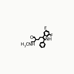 CNCCC(C=O)CCc1c(-c2ccccc2)[nH]c2c(F)cc(F)cc12